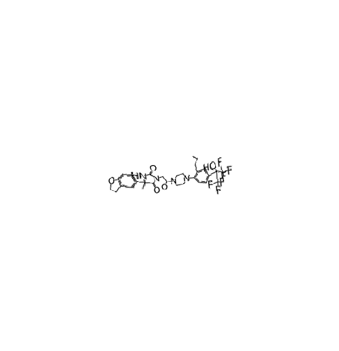 CCCc1cc(C(O)(C(F)(F)F)C(F)(F)F)ccc1N1CCN(C(=O)CN2C(=O)NC(C)(c3ccc4c(c3)CCO4)C2=O)CC1